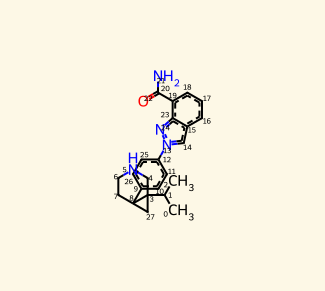 CC(C)C12CNCCC1(c1ccc(-n3cc4cccc(C(N)=O)c4n3)cc1)C2